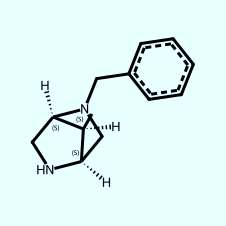 C[C@@H]1[C@H]2CN[C@@H]1CN2Cc1ccccc1